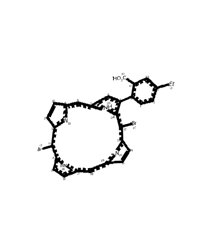 CCc1ccc(-c2cc3cc4nc(c(Br)c5ccc(cc6nc(c(Br)c2[nH]3)C=C6)[nH]5)C=C4)c(C(=O)O)c1